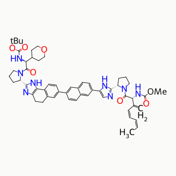 C=C(/C=C\C=C/C)[C@@H](NC(=O)OC)C(=O)N1CCC[C@H]1c1ncc(-c2ccc3cc(-c4ccc5c(c4)CCc4nc([C@@H]6CCCN6C(=O)[C@@H](NC(=O)OC(C)(C)C)C6CCOCC6)[nH]c4-5)ccc3c2)[nH]1